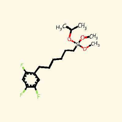 CO[Si](CCCCCCc1cc(F)c(F)cc1F)(OC)OC(C)C